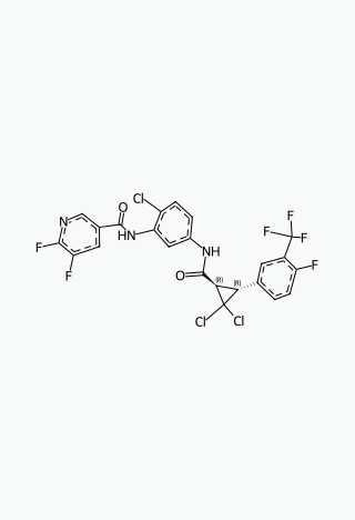 O=C(Nc1cc(NC(=O)[C@H]2[C@H](c3ccc(F)c(C(F)(F)F)c3)C2(Cl)Cl)ccc1Cl)c1cnc(F)c(F)c1